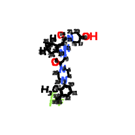 Cc1c(N2CCN(C(=O)Cn3nc(C(=O)N4CCC(O)CC4)c4c3C[C@H]3C[C@@H]43)CC2)cccc1C(F)(F)F